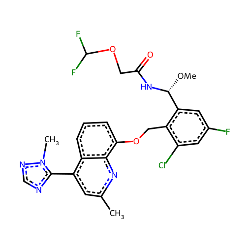 CO[C@@H](NC(=O)COC(F)F)c1cc(F)cc(Cl)c1COc1cccc2c(-c3ncnn3C)cc(C)nc12